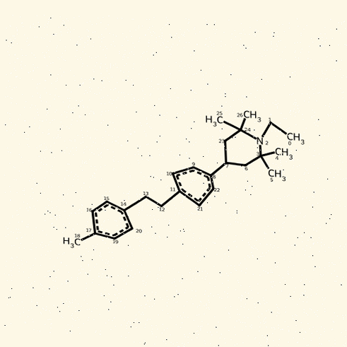 CCN1C(C)(C)CC(c2ccc(CCc3ccc(C)cc3)cc2)CC1(C)C